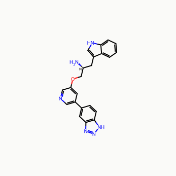 N[C@H](COc1cncc(-c2ccc3[nH]nnc3c2)c1)Cc1c[nH]c2ccccc12